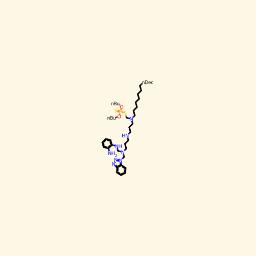 CCCCCCCCCCCCCCCCCCN(CCCNCCCN(CNc1ccccc1N)Cn1nnc2ccccc21)CSP(=S)(OCCCC)OCCCC